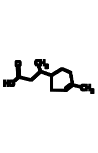 CC1=CCC(C(C)CC(=O)O)CC1